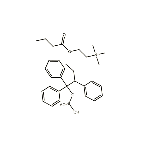 CCC(c1ccccc1)C(OB(O)O)(c1ccccc1)c1ccccc1.CCCC(=O)OCC[N+](C)(C)C